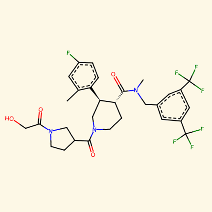 Cc1cc(F)ccc1[C@@H]1CN(C(=O)C2CCN(C(=O)CO)C2)CC[C@H]1C(=O)N(C)Cc1cc(C(F)(F)F)cc(C(F)(F)F)c1